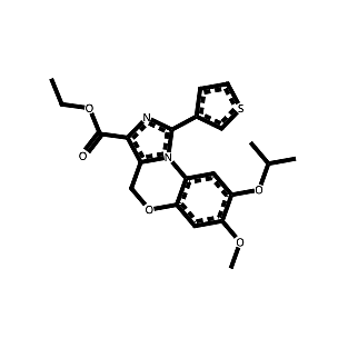 CCOC(=O)c1nc(-c2ccsc2)n2c1COc1cc(OC)c(OC(C)C)cc1-2